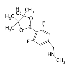 CNCc1cc(F)c(B2OC(C)(C)C(C)(C)O2)c(F)c1